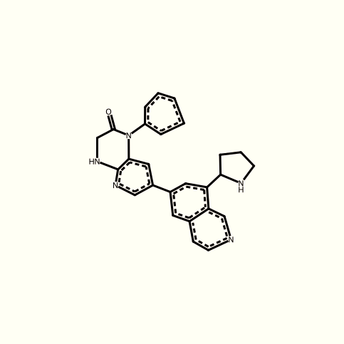 O=C1CNc2ncc(-c3cc(C4CCCN4)c4cnccc4c3)cc2N1c1ccccc1